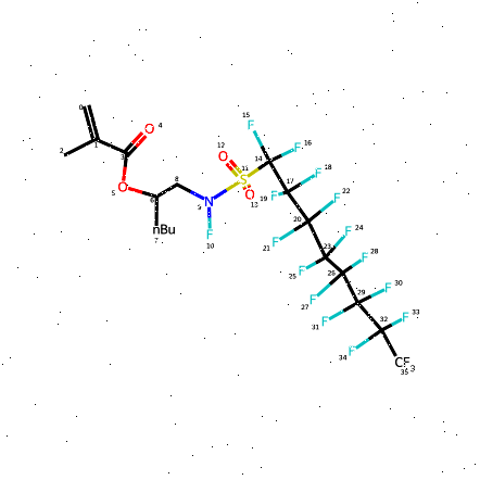 C=C(C)C(=O)OC(CCCC)CN(F)S(=O)(=O)C(F)(F)C(F)(F)C(F)(F)C(F)(F)C(F)(F)C(F)(F)C(F)(F)C(F)(F)F